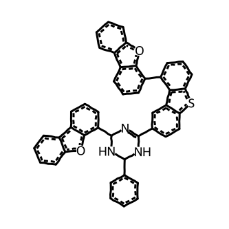 c1ccc(C2NC(c3ccc4sc5cccc(-c6cccc7c6oc6ccccc67)c5c4c3)=NC(c3cccc4c3oc3ccccc34)N2)cc1